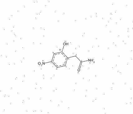 NC(=O)Cc1ccc([N+](=O)[O-])cc1O